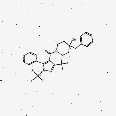 O=C(c1c(C(F)(F)F)nn(C(F)(F)F)c1-c1ccncc1)N1CCC(O)(Cc2ccccc2)CC1